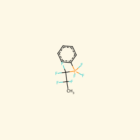 CC(F)(F)C(F)(F)P(F)(F)(F)c1ccccc1